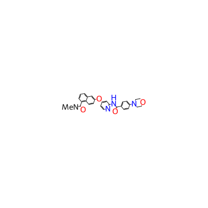 CNC(=O)c1cccc2cc(Oc3ccnc(NC(=O)c4ccc(N5CCOCC5)cc4)c3)ccc12